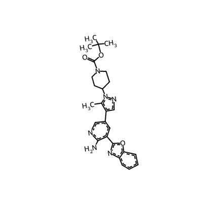 Cc1c(-c2cnc(N)c(-c3nc4ccccc4o3)c2)cnn1C1CCN(C(=O)OC(C)(C)C)CC1